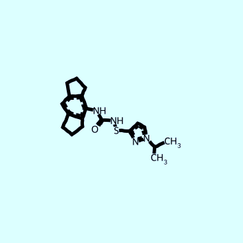 CC(C)n1ccc(SNC(=O)Nc2c3c(cc4c2CCC4)CCC3)n1